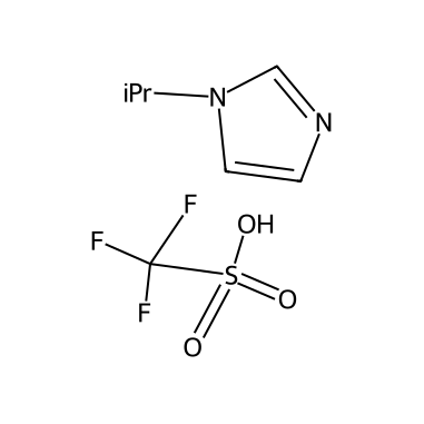 CC(C)n1ccnc1.O=S(=O)(O)C(F)(F)F